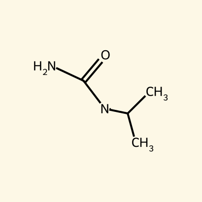 CC(C)[N]C(N)=O